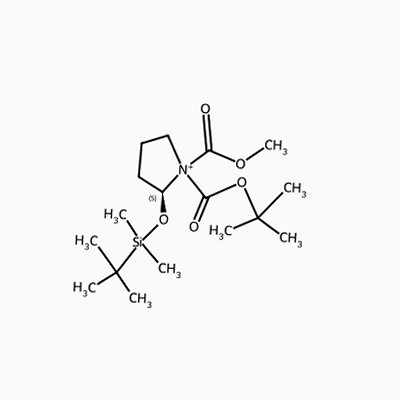 COC(=O)[N+]1(C(=O)OC(C)(C)C)CCC[C@@H]1O[Si](C)(C)C(C)(C)C